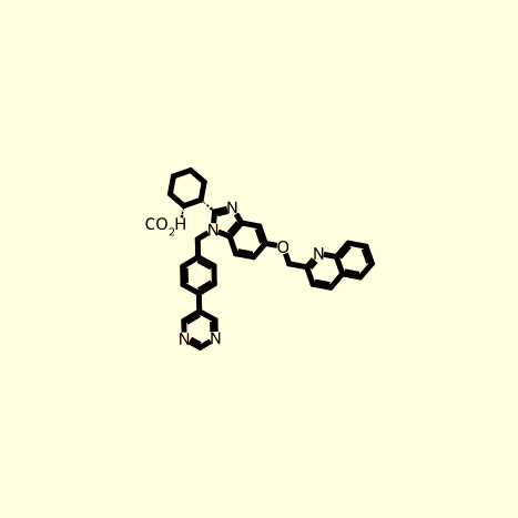 O=C(O)[C@@H]1CCCC[C@@H]1c1nc2cc(OCc3ccc4ccccc4n3)ccc2n1Cc1ccc(-c2cncnc2)cc1